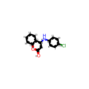 O=c1cc(Nc2ccc(Cl)cc2)c2ccccc2o1